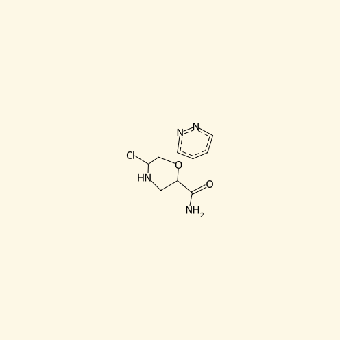 NC(=O)C1CNC(Cl)CO1.c1ccnnc1